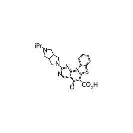 CC(C)N1CC2CN(c3ncc4c(=O)c(C(=O)O)c5sc6ccccc6n5c4n3)CC2C1